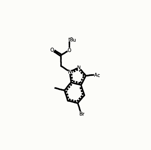 CC(=O)c1nn(CC(=O)OC(C)(C)C)c2c(C)cc(Br)cc12